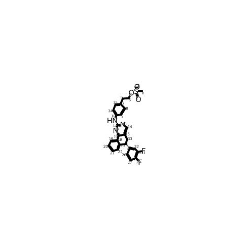 CS(=O)(=O)OCCc1ccc(Nc2ncc3c(n2)-c2ccccc2[C@@H](c2ccc(F)c(F)c2)C3)cc1